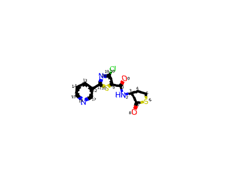 O=C(NC1CCSC1=O)c1sc(-c2cccnc2)nc1Cl